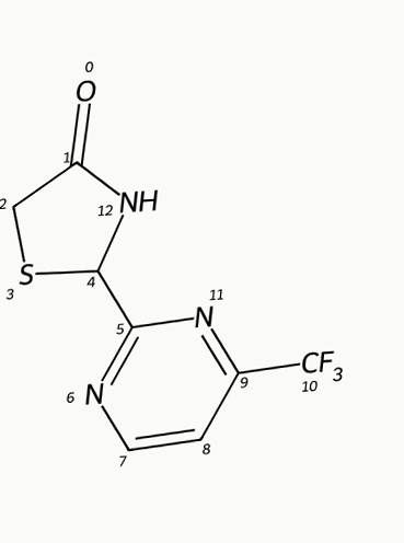 O=C1CSC(c2nccc(C(F)(F)F)n2)N1